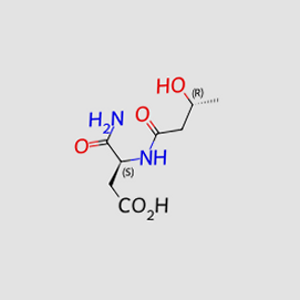 C[C@@H](O)CC(=O)N[C@@H](CC(=O)O)C(N)=O